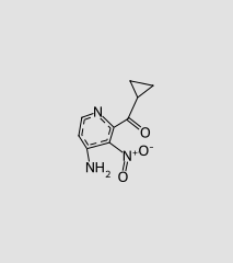 Nc1ccnc(C(=O)C2CC2)c1[N+](=O)[O-]